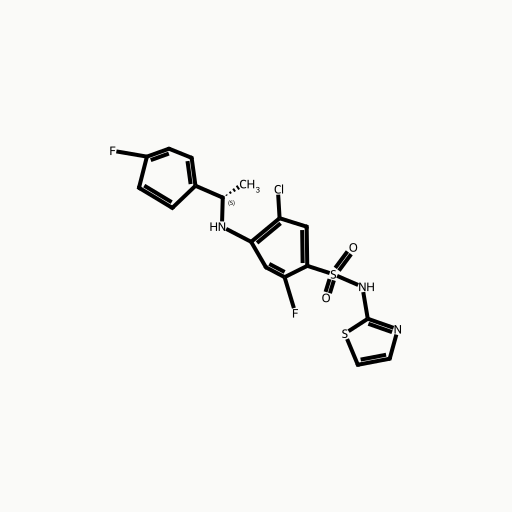 C[C@H](Nc1cc(F)c(S(=O)(=O)Nc2nccs2)cc1Cl)c1ccc(F)cc1